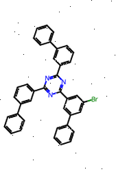 Brc1cc(-c2ccccc2)cc(-c2nc(-c3cccc(-c4ccccc4)c3)nc(-c3cccc(-c4ccccc4)c3)n2)c1